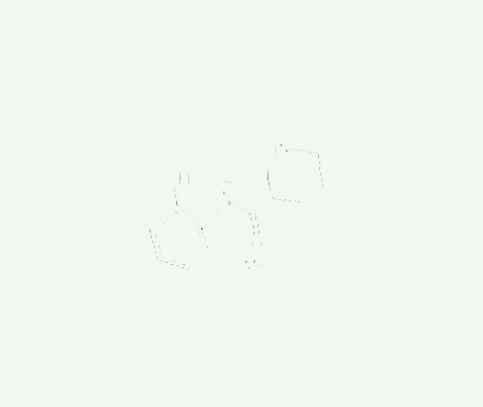 COc1cccc(C)c1NC(=O)[C@H]1CCCNC1